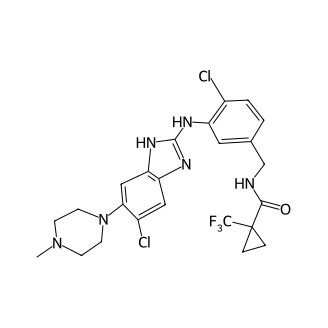 CN1CCN(c2cc3[nH]c(Nc4cc(CNC(=O)C5(C(F)(F)F)CC5)ccc4Cl)nc3cc2Cl)CC1